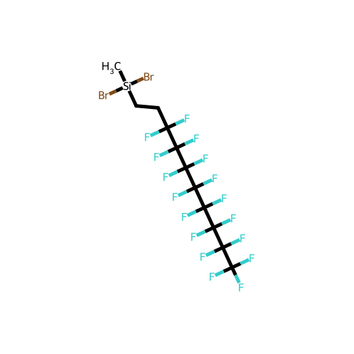 C[Si](Br)(Br)CCC(F)(F)C(F)(F)C(F)(F)C(F)(F)C(F)(F)C(F)(F)C(F)(F)C(F)(F)F